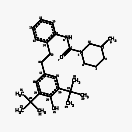 CC1CCCN(C(=O)Nc2ccccc2CCc2cc(C(C)(C)C)c(O)c(C(C)(C)C)c2)C1